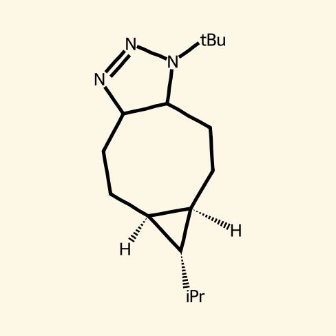 CC(C)[C@H]1[C@@H]2CCC3C(CC[C@@H]21)N=NN3C(C)(C)C